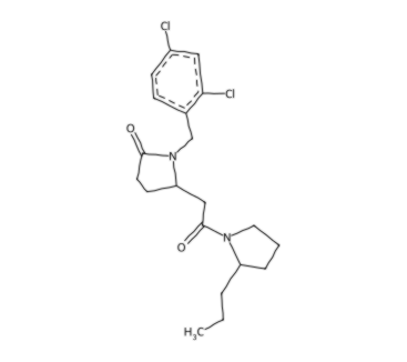 CCCC1CCCN1C(=O)CC1CCC(=O)N1Cc1ccc(Cl)cc1Cl